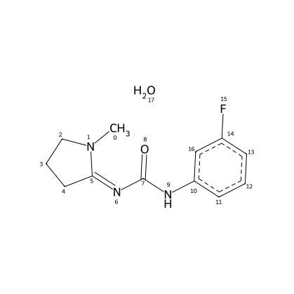 CN1CCCC1=NC(=O)Nc1cccc(F)c1.O